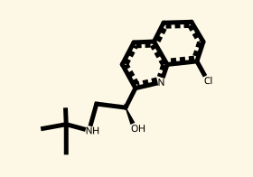 CC(C)(C)NC[C@H](O)c1ccc2cccc(Cl)c2n1